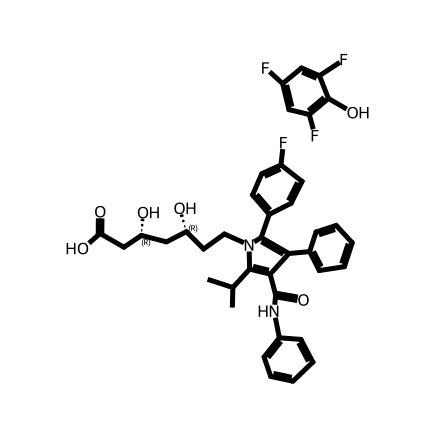 CC(C)c1c(C(=O)Nc2ccccc2)c(-c2ccccc2)c(-c2ccc(F)cc2)n1CC[C@@H](O)C[C@@H](O)CC(=O)O.Oc1c(F)cc(F)cc1F